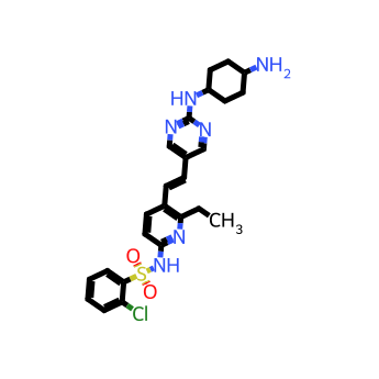 CCc1nc(NS(=O)(=O)c2ccccc2Cl)ccc1/C=C/c1cnc(NC2CCC(N)CC2)nc1